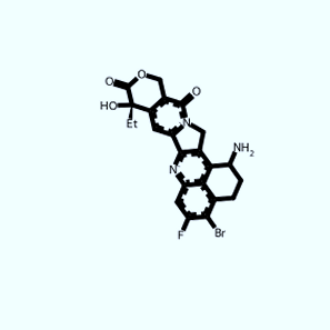 CC[C@@]1(O)C(=O)OCc2c1cc1n(c2=O)Cc2c-1nc1cc(F)c(Br)c3c1c2C(N)CC3